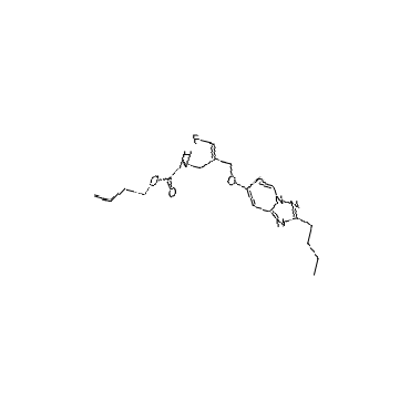 CCCCOC(=O)NC/C(=C\F)COc1ccn2nc(CCCC)nc2c1